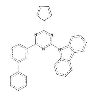 C1=CC(c2nc(-c3cccc(-c4ccccc4)c3)nc(-n3c4ccccc4c4ccccc43)n2)C=C1